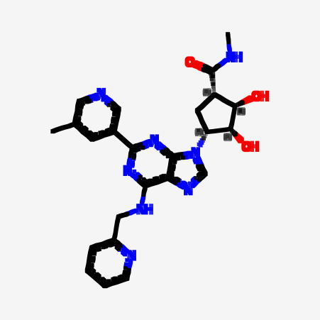 CNC(=O)[C@H]1C[C@@H](n2cnc3c(NCc4ccccn4)nc(-c4cncc(C)c4)nc32)[C@H](O)[C@@H]1O